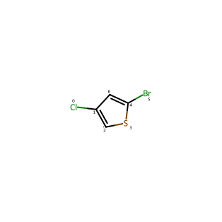 Clc1[c]sc(Br)c1